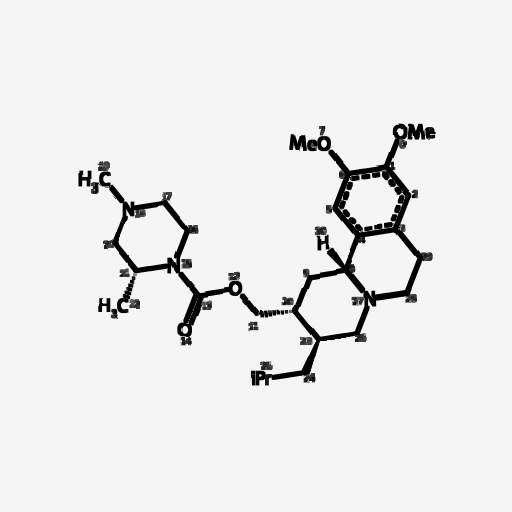 COc1cc2c(cc1OC)[C@H]1C[C@@H](COC(=O)N3CCN(C)C[C@H]3C)[C@H](CC(C)C)CN1CC2